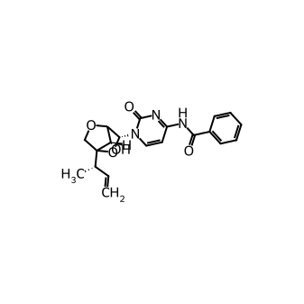 C=C[C@H](C)C12COC([C@H](n3ccc(NC(=O)c4ccccc4)nc3=O)O1)[C@@H]2O